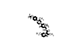 C=C(/C=C(F)\C(=C/C)N1CCN(c2ccc(OC(F)(F)F)cc2)[C@@H](C)C1)CNC(=O)c1c(C)nc2ccc(C)cn12